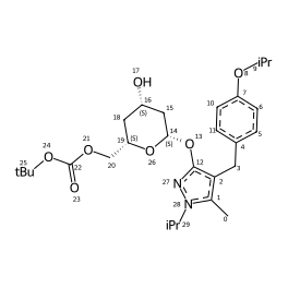 Cc1c(Cc2ccc(OC(C)C)cc2)c(O[C@H]2C[C@@H](O)C[C@@H](COC(=O)OC(C)(C)C)O2)nn1C(C)C